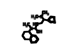 CN(C)C(CNC(O)N(C)C1CCCc2ccccc21)c1ccsc1